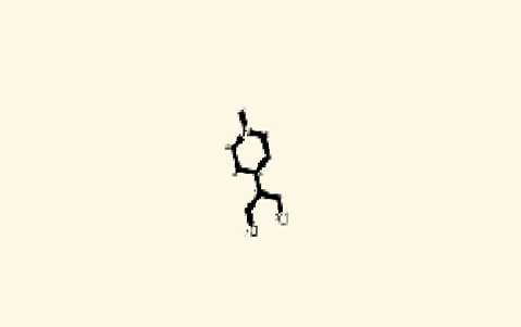 CN1CCC(C(CCl)CCl)CC1